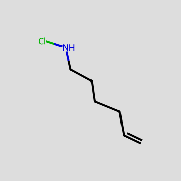 C=CCCCCNCl